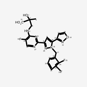 CC(O)(CNc1nc(-c2cc(-c3ccon3)n(Cc3cccc(F)c3F)n2)ncc1F)C(=O)O